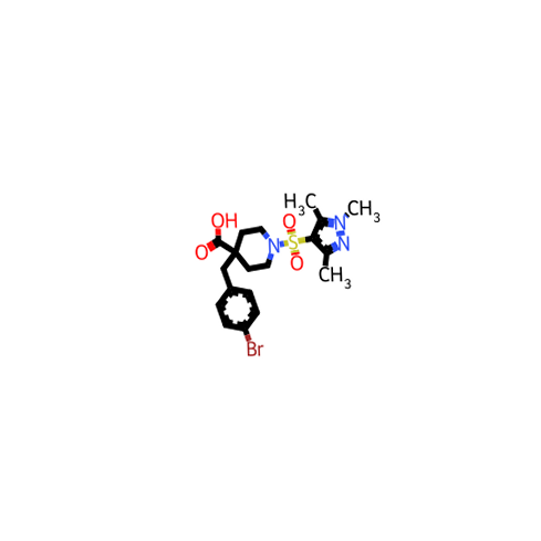 Cc1nn(C)c(C)c1S(=O)(=O)N1CCC(Cc2ccc(Br)cc2)(C(=O)O)CC1